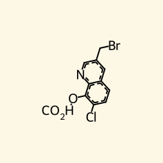 O=C(O)Oc1c(Cl)ccc2cc(CBr)cnc12